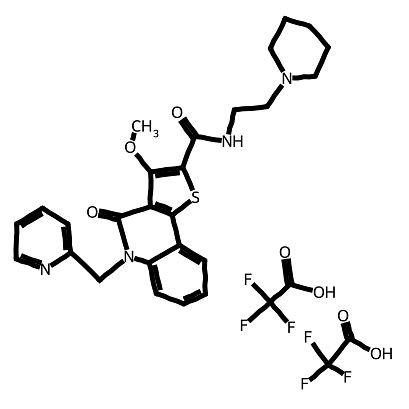 COc1c(C(=O)NCCN2CCCCC2)sc2c1c(=O)n(Cc1ccccn1)c1ccccc21.O=C(O)C(F)(F)F.O=C(O)C(F)(F)F